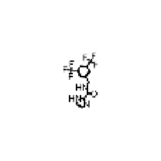 O=C(NCc1cc(C(F)(F)F)cc(C(F)(F)F)c1)c1ncc[nH]1